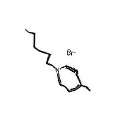 CCCCC[n+]1ccc(C)cc1.[Br-]